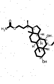 CC[C@H]1[C@@H](O)[C@@H]2[C@@H]3CC[C@H]([C@H](C)CCOC(N)=O)C3(C)CC[C@@H]2C2(C)CC[C@@H](O)C[C@@H]12